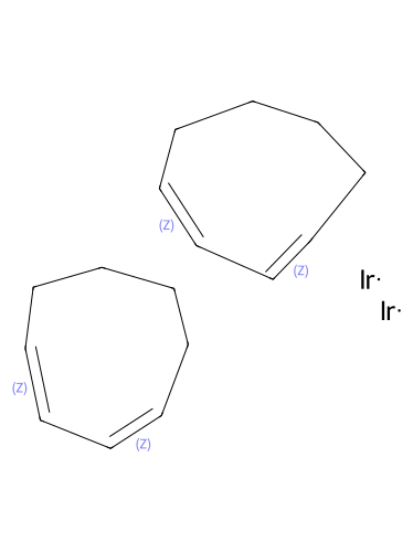 C1=C\CCCC\C=C/1.C1=C\CCCC\C=C/1.[Ir].[Ir]